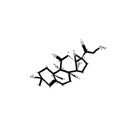 CC(=O)OCC(=O)[C@@]12CC[C@H]3[C@@H]4CCC5=CC(C)(C(C)(C)C)CC[C@]5(C)[C@H]4C(=O)C[C@@]31O2